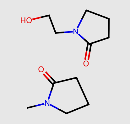 CN1CCCC1=O.O=C1CCCN1CCO